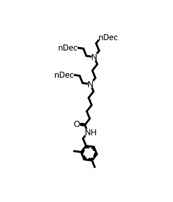 CCCCCCCCCCCCN(CCCCCCCCCCCC)CCCN(CCCCCCCCCCCC)CCCCCC(=O)NCc1ccc(C)cc1C